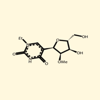 CCn1cc([C@H]2O[C@H](CO)[C@@H](O)[C@H]2OC)c(=O)[nH]c1=O